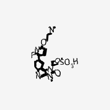 CN(C)CCCOc1ccc(-c2ccc3ncc4c(c3c2)n(C2COC2)c(=O)n4C)c(F)n1.CS(=O)(=O)O